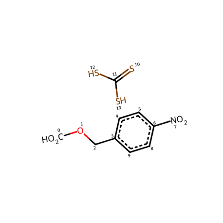 O=C(O)OCc1ccc([N+](=O)[O-])cc1.S=C(S)S